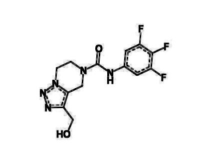 O=C(Nc1cc(F)c(F)c(F)c1)N1CCn2nnc(CO)c2C1